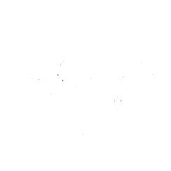 C/C=C1/CC2CC(C)(C1)CN2C(=O)c1ccccc1COc1ccccc1